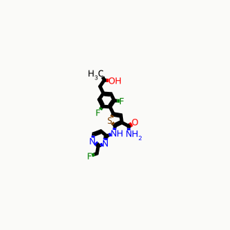 CC(O)Cc1cc(F)c(-c2cc(C(N)=O)c(Nc3ccnc(CF)n3)s2)c(F)c1